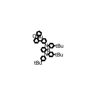 CC(C)(C)c1ccc(N2c3ccc(C(C)(C)C)cc3B3c4cc(C(C)(C)C)ccc4N(c4ccc(C(C)(C)C)c(-c5cccc6oc7ccccc7c56)c4)c4cccc2c43)cc1